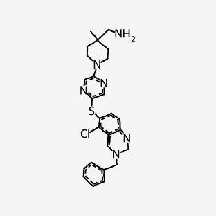 CC1(CN)CCN(c2cnc(Sc3ccc4c(c3Cl)=CN(Cc3ccccc3)CN=4)cn2)CC1